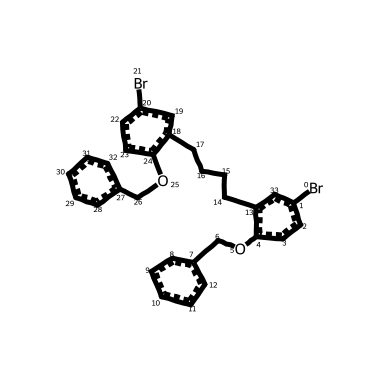 Brc1ccc(OCc2ccccc2)c(CCCCc2cc(Br)ccc2OCc2ccccc2)c1